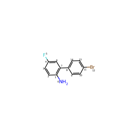 Nc1ccc(F)cc1-c1ccc(Br)cc1